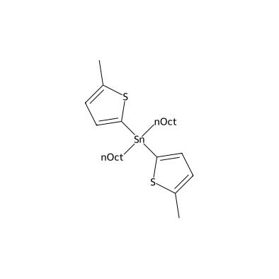 CCCCCCC[CH2][Sn]([CH2]CCCCCCC)([c]1ccc(C)s1)[c]1ccc(C)s1